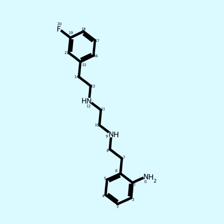 Nc1ccccc1CCNCCNCCc1cccc(F)c1